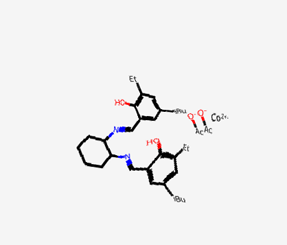 CC(=O)[O-].CC(=O)[O-].CCc1cc(C(C)CC)cc(C=NC2CCCCC2N=Cc2cc(C(C)CC)cc(CC)c2O)c1O.[Co+2]